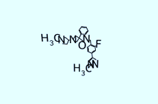 CN1CCC(N2CC3(C2)C(=O)N(Cc2ccc(-c4cnn(C)c4)cc2F)c2ccccc23)C1